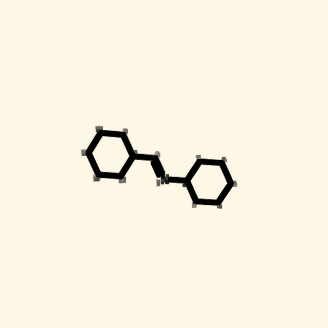 C(=NC1CCCCC1)C1CCCCC1